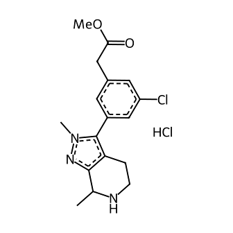 COC(=O)Cc1cc(Cl)cc(-c2c3c(nn2C)C(C)NCC3)c1.Cl